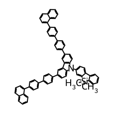 C[Si]1(C)c2ccccc2-c2ccc(-n3c4ccc(-c5ccc(-c6ccc(-c7cccc8ccccc78)cc6)cc5)cc4c4cc(-c5ccc(-c6ccc(-c7cccc8ccccc78)cc6)cc5)ccc43)cc21